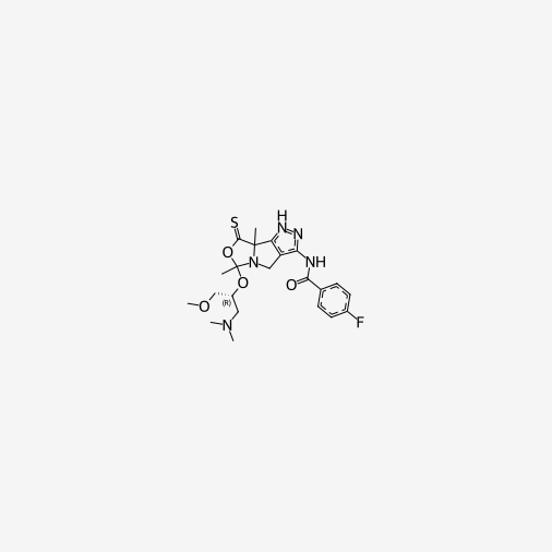 COC[C@@H](CN(C)C)OC1(C)OC(=S)C2(C)c3[nH]nc(NC(=O)c4ccc(F)cc4)c3CN12